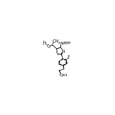 CCO[C@@H](C)C1SC(c2ccc(CCO)cc2F)=NC1NC